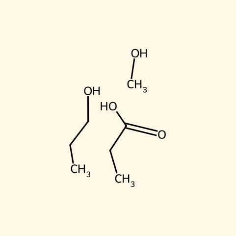 CCC(=O)O.CCCO.CO